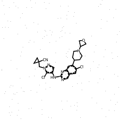 N#CC1(Cn2ncc(Nc3ncc4cc(Cl)c(C5CCN(C6COC6)CC5)cc4n3)c2Cl)CC1